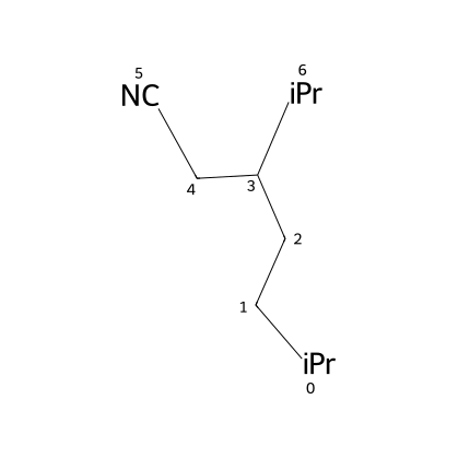 CC(C)CCC(CC#N)C(C)C